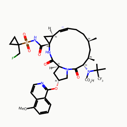 COc1cccc2c(O[C@@H]3C[C@H]4C(=O)N[C@]5(C(=O)NS(=O)(=O)C6(CF)CC6)C[C@H]5/C=C\CC[C@@H](C)C[C@@H](C)[C@H](N(C(=O)O)C(C)(C)C(F)(F)F)C(=O)N4C3)nccc12